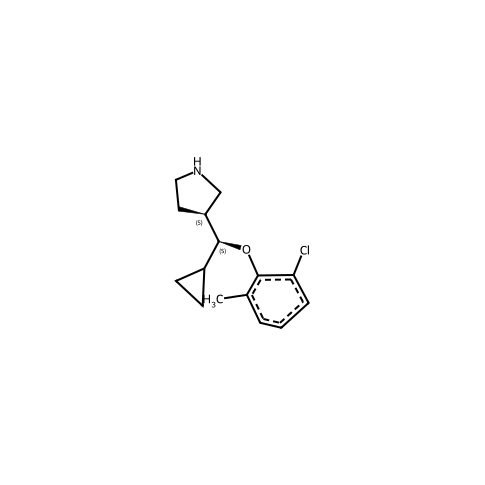 Cc1cccc(Cl)c1O[C@@H](C1CC1)[C@H]1CCNC1